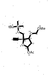 C#C[C@]1(CO[Si](C)(C)C(C)(C)C)OC(OC(C)=O)CC1OCOC